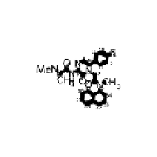 CN[C@@H](C)C(=O)Nc1ncc(-c2ccc(F)cc2)n(CC(=O)N(C)C2CCCc3ccccc32)c1=O